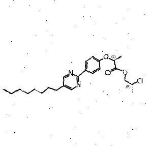 CCCCCCCCc1cnc(-c2ccc(O[C@@H](C)C(=O)OC[C@@H](C)Cl)cc2)nc1